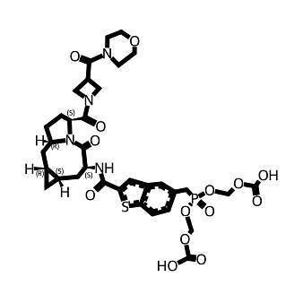 O=C(O)OCOP(=O)(Cc1ccc2sc(C(=O)N[C@H]3C[C@@H]4C[C@@H]4C[C@H]4CC[C@@H](C(=O)N5CC(C(=O)N6CCOCC6)C5)N4C3=O)cc2c1)OCOC(=O)O